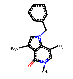 Cc1cn(C)c(=O)c2c(C(=O)O)cn(Cc3ccccc3)c12